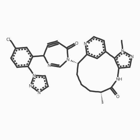 C[C@@H]1CCC[C@H](N2C=NC(c3cc(Cl)ccc3-n3ccnn3)C#CC2=O)c2cc(ccn2)-c2c(cnn2C)NC1=O